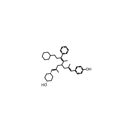 C/C(=C\c1ccc(O)cc1)C[C](C/C(C)=C/[C@H]1CC[C@H](O)CC1)/C(C)=C(\CCC1CCCCC1)c1ccccc1